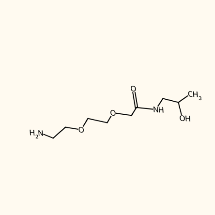 CC(O)CNC(=O)COCCOCCN